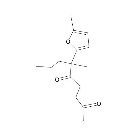 CCCC(C)(C(=O)CCC(C)=O)c1ccc(C)o1